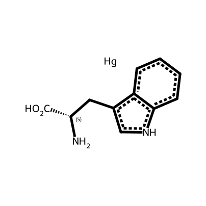 N[C@@H](Cc1c[nH]c2ccccc12)C(=O)O.[Hg]